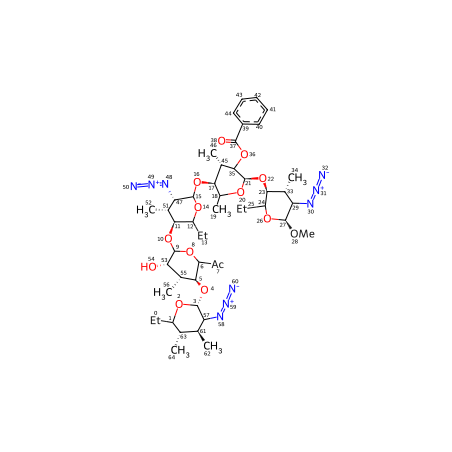 CCC1O[C@H](O[C@@H]2C(C(C)=O)OC(O[C@@H]3C(CC)OC(O[C@@H]4C(C)O[C@H](O[C@@H]5C(CC)O[C@H](OC)C(N=[N+]=[N-])[C@H]5C)C(OC(=O)c5ccccc5)[C@H]4C)[C@@H](N=[N+]=[N-])[C@H]3C)[C@@H](O)[C@H]2C)C(N=[N+]=[N-])[C@@H](C)[C@@H]1C